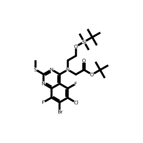 CSc1nc(N(CCO[Si](C)(C)C(C)(C)C)CC(=O)OC(C)(C)C)c2c(F)c(Cl)c(Br)c(F)c2n1